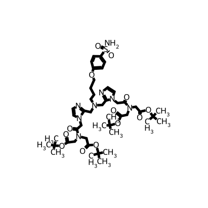 CC(C)(C)OC(=O)CN(CC(=O)OC(C)(C)C)C(=O)Cn1ccnc1CN(CCCCOc1ccc(S(N)(=O)=O)cc1)Cc1nccn1CC(=O)N(CC(=O)OC(C)(C)C)CC(=O)OC(C)(C)C